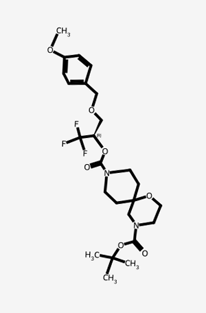 COc1ccc(COC[C@@H](OC(=O)N2CCC3(CC2)CN(C(=O)OC(C)(C)C)CCO3)C(F)(F)F)cc1